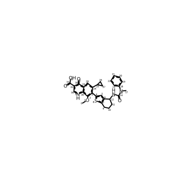 COc1c(-c2cc3c(s2)CCCC3NC(=O)N(C)c2ccccc2)c(C2CC2)cc2c(=O)c(C(=O)O)c[nH]c12